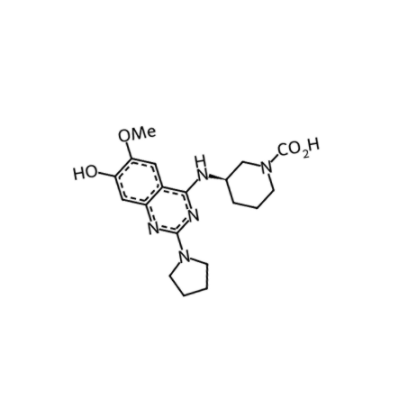 COc1cc2c(N[C@@H]3CCCN(C(=O)O)C3)nc(N3CCCC3)nc2cc1O